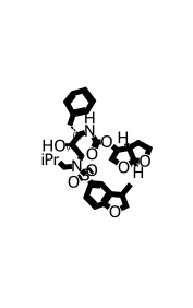 CC(C)CN(C[C@@H](O)[C@H](Cc1ccccc1)NC(=O)OC1CO[C@H]2OCC[C@@H]12)S(=O)(=O)c1ccc2c(c1)C(C)CO2